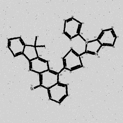 CC1(C)c2ccccc2-c2cc3c(Br)c4ccccc4c(-c4ccc(-c5nc6ccccc6n5-c5ccccc5)cc4)c3cc21